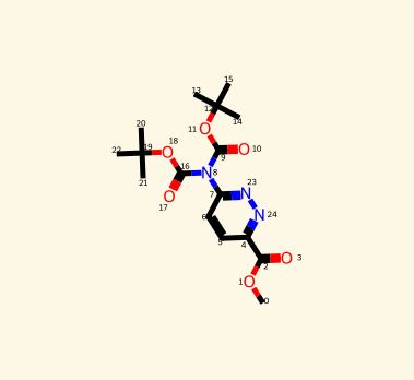 COC(=O)c1ccc(N(C(=O)OC(C)(C)C)C(=O)OC(C)(C)C)nn1